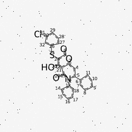 O=c1oc2cc(-c3ccccc3)n(-c3ccccc3)c(=O)c2c(O)c1Sc1cccc(Cl)c1